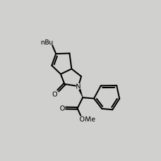 CCCCC1=CC2C(=O)N([C@H](C(=O)OC)c3ccccc3)CC2C1